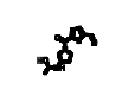 CC(O)NC1CCN(C(=O)c2ccc(C=O)s2)C1